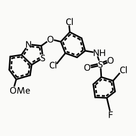 COc1ccc2nc(Oc3c(Cl)cc(NS(=O)(=O)c4ccc(F)cc4Cl)cc3Cl)sc2c1